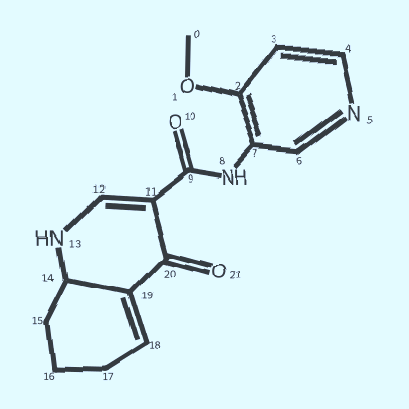 COc1ccncc1NC(=O)C1=CNC2CCCC=C2C1=O